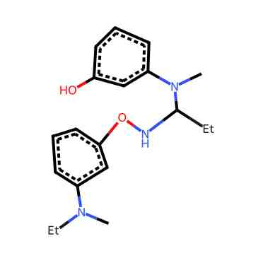 CCC(NOc1cccc(N(C)CC)c1)N(C)c1cccc(O)c1